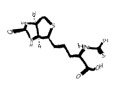 O=C1N[C@H]2[C@H](CS[C@H]2CCCC(NC(=S)S)C(=O)O)N1